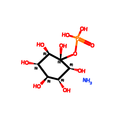 N.O=P(O)(O)O[C@]1(O)[C@H](O)[C@H](O)[C@@H](O)[C@H](O)[C@H]1O